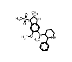 COc1cc2c(cc1N(C)C1CCCNC1c1ccccc1)N[C@H](C)[C@@H]2S(C)(=O)=O